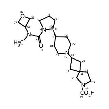 CN(C(=O)N1CCC[C@H]1C1CCN(C2CC3(CCN(C(=O)O)C3)C2)CC1)C1COC1